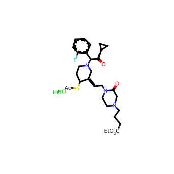 CCOC(=O)CCCN1CCN(CC=C2CN(C(C(=O)C3CC3)c3ccccc3F)CCC2SC(C)=O)C(=O)C1.Cl.Cl